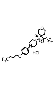 Cl.O=C(NO)C1(S(=O)(=O)N2CCN(c3ccc(OCCCC(F)(F)F)cc3)CC2)CCOCC1